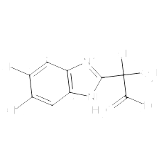 C=C(CC)C(O)(c1nc2cc(Cl)c(Cl)cc2[nH]1)C(F)(F)F